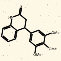 COc1cc(C2CC(=S)Nc3ccccc32)cc(OC)c1OC